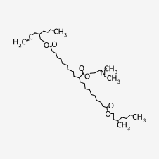 C=C=C=CC(CCCC)CCOC(=O)CCCCCCCCCC(CCCCCCCCCC(=O)OCCC(C)CCCC)C(=O)OCCCN(C)CC